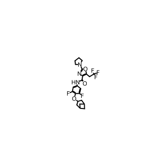 O=C(Nc1cc(F)c(OC2CC3CC(C3)C2)c(F)c1)c1nc(N2CCCC2)oc1CC(F)(F)F